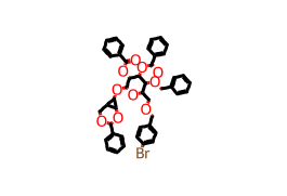 O=C(OC1C(OC2C3COC(c4ccccc4)OC32)OC(COCc2ccc(Br)cc2)C(OCc2ccccc2)C1OC(=O)c1ccccc1)c1ccccc1